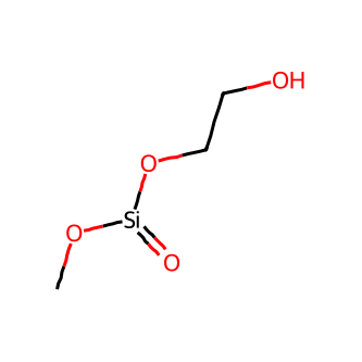 CO[Si](=O)OCCO